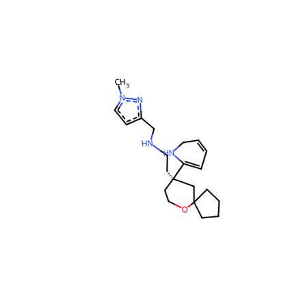 Cn1ccc(CNCC[C@@]2(C3=CC=CCN3)CCOC3(CCCC3)C2)n1